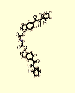 O=C(/C=C/C(=O)On1ncc2cc(C(=O)NC3CN4CC[C@H]3C4)ccc21)On1ncc2cc(C(=O)NC3CN4CC[C@H]3C4)ccc21